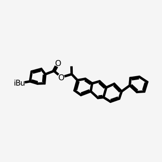 CCC(C)c1ccc(C(=O)OC(C)c2ccc3cc4ccc(-c5ccccc5)cc4cc3c2)cc1